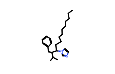 CCCCCCCCCCC(C(Cc1ccccc1)C(C)C)n1ccnc1